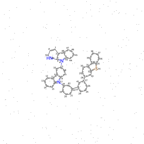 C1=Cc2c(n(-c3ccc4c(c3)c3ccccc3n4-c3cccc(-c4cccc(-c5ccc6c(c5)sc5ccccc56)c4)c3)c3ccccc23)NC1